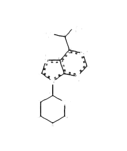 CC(C)c1ncnc2c1ncn2C1CCCCO1